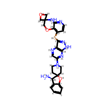 N[C@@H]1c2ccccc2OC12CCN(c1cnc3c(Sc4ccnc5c4OCC4(COC4)N5)n[nH]c3n1)CC2